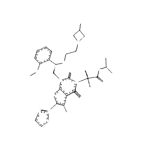 COc1ccccc1[C@H](Cn1c(=O)n(C(C)(C)C(=O)NC(C)C)c(=O)c2c(C)c(-n3nccn3)sc21)OCCN1CC(F)C1